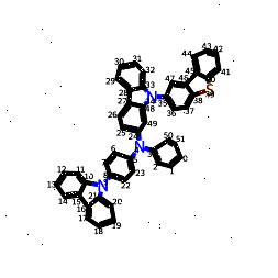 c1ccc(N(c2ccc(-n3c4ccccc4c4ccccc43)cc2)c2ccc3c4ccccc4n(-c4ccc5sc6ccccc6c5c4)c3c2)cc1